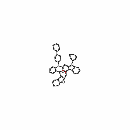 c1ccc(-c2ccc(N(c3ccc4c5ccccc5n(-c5ccccc5)c4c3)c3ccccc3-c3cccc4oc5ccccc5c34)cc2)cc1